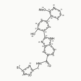 CCc1noc(CNC(=O)c2ccc3[nH]c(-c4cc(-c5cccnc5OC)ccc4O)nc3c2)n1